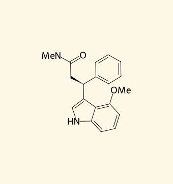 CNC(=O)C[C@@H](c1ccccc1)c1c[nH]c2cccc(OC)c12